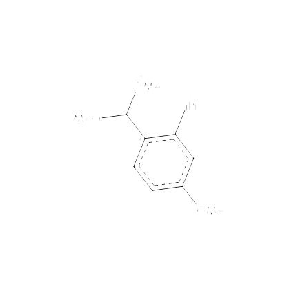 COc1ccc(C(OC)OC)c(C(C)C)c1